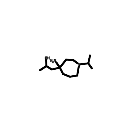 CC(O)CC1(N)CCCN(C(C)C)CC1